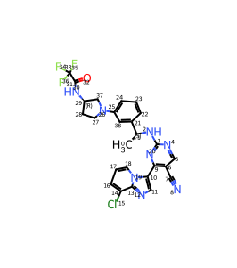 C[C@H](Nc1ncc(C#N)c(-c2cnc3c(Cl)cccn23)n1)c1cccc(N2CC[C@@H](NC(=O)C(F)(F)F)C2)c1